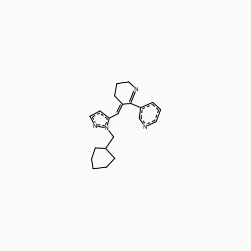 C(=C1CCCN=C1c1cccnc1)c1ccnn1CC1CCCCC1